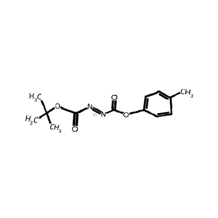 Cc1ccc(OC(=O)/N=N/C(=O)OC(C)(C)C)cc1